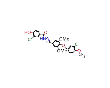 COc1cc(/C=N/NC(=O)c2ccc(O)c(Cl)c2)cc(OC)c1OCc1ccc(OC(F)(F)F)c(Cl)c1